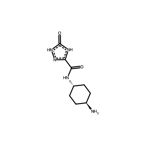 N[C@H]1CC[C@H](NC(=O)c2n[nH]c(=O)[nH]2)CC1